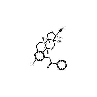 C#C[C@]1(O)CC[C@H]2[C@@H]3CCc4cc(O)cc(OC(=O)c5ccccc5)c4[C@H]3CCC21C